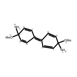 COC1(N)C=CC(=C2C=CC(N)(OC)C=C2)C=C1